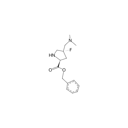 CN(C)C[C@]1(F)CN[C@H](C(=O)OCc2ccccc2)C1